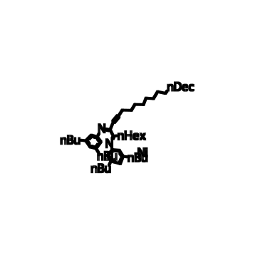 CCCCCCCCCCCCCCCCCCC#CC(=Nc1cc(CCCC)cc(CCCC)c1)C(CCCCCC)=Nc1cc(CCCC)cc(CCCC)c1.[Ni]